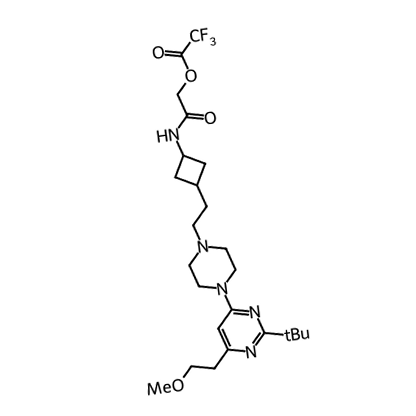 COCCc1cc(N2CCN(CCC3CC(NC(=O)COC(=O)C(F)(F)F)C3)CC2)nc(C(C)(C)C)n1